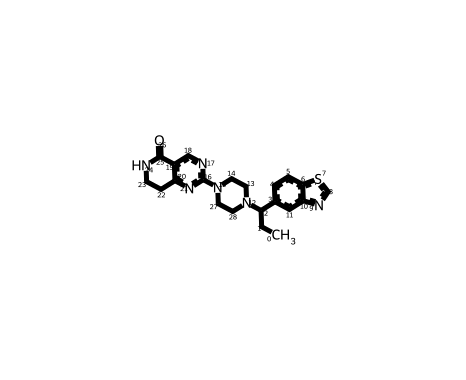 CCC(c1ccc2scnc2c1)N1CCN(c2ncc3c(n2)CCNC3=O)CC1